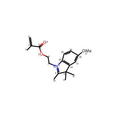 C=C(C)C(=O)OCC[N+]1=C(C)C(C)(C)c2cc(OC)ccc21